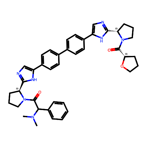 CN(C)C(C(=O)N1CCC[C@H]1c1ncc(-c2ccc(-c3ccc(-c4cnc([C@@H]5CCCN5C(=O)[C@@H]5CCCO5)[nH]4)cc3)cc2)[nH]1)c1ccccc1